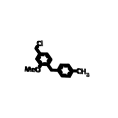 COc1cc(CCl)ccc1Cc1ccc(C)cc1